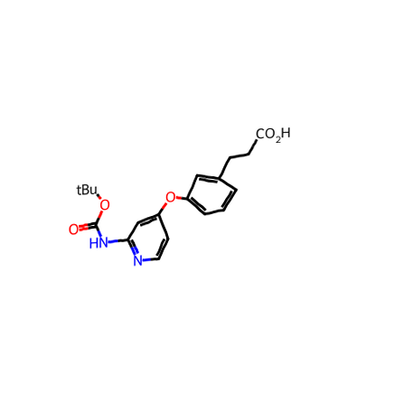 CC(C)(C)OC(=O)Nc1cc(Oc2cccc(CCC(=O)O)c2)ccn1